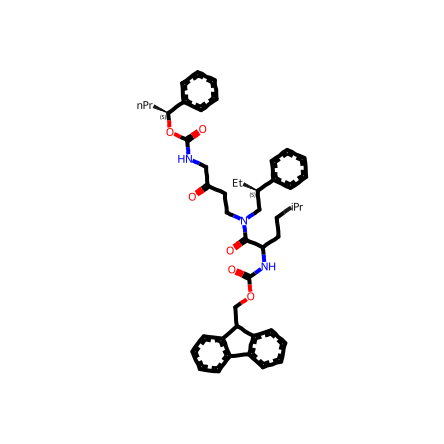 CCC[C@H](OC(=O)NCC(=O)CCN(C[C@@H](CC)c1ccccc1)C(=O)C(CCC(C)C)NC(=O)OCC1c2ccccc2-c2ccccc21)c1ccccc1